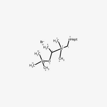 CCCCCCCC[N+](C)(C)C(C)O[Si](C)(C)C.[Br-]